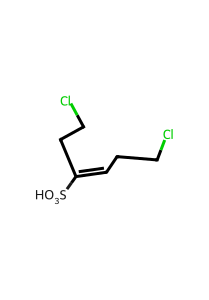 O=S(=O)(O)C(=CCCCl)CCCl